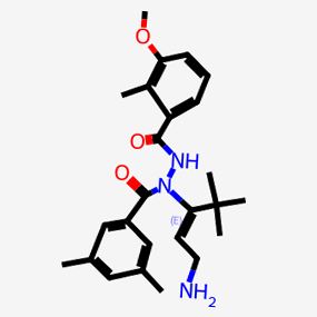 COc1cccc(C(=O)NN(C(=O)c2cc(C)cc(C)c2)/C(=C/CN)C(C)(C)C)c1C